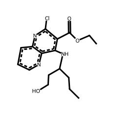 CCCC(CCO)Nc1c(C(=O)OCC)c(Cl)nc2cccnc12